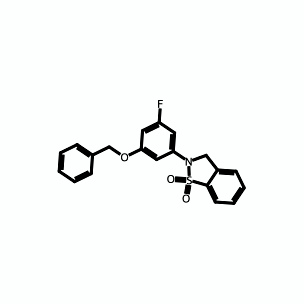 O=S1(=O)c2ccccc2CN1c1cc(F)cc(OCc2ccccc2)c1